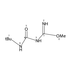 COC(=N)NC(=O)NC(C)(C)C